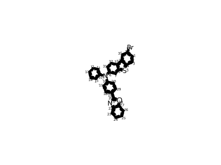 Brc1ccc2sc3cc(N(c4ccccc4)c4ccc(-c5nc6ccccc6o5)cc4)ccc3c2c1